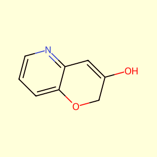 OC1=Cc2ncccc2OC1